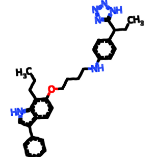 CCCc1c(OCCCCNc2ccc(C(CC)c3nnn[nH]3)cc2)ccc2c(-c3ccccc3)c[nH]c12